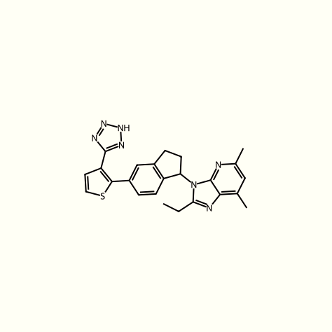 CCc1nc2c(C)cc(C)nc2n1C1CCc2cc(-c3sccc3-c3nn[nH]n3)ccc21